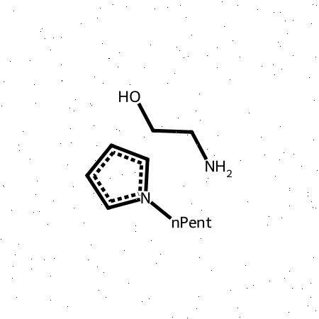 CCCCCn1cccc1.NCCO